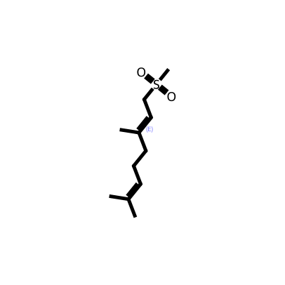 CC(C)=CCC/C(C)=C/CS(C)(=O)=O